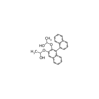 CC(O)Oc1cc2ccccc2c(-c2cccc3ccccc23)c1OC(C)O